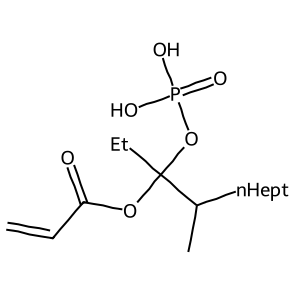 C=CC(=O)OC(CC)(OP(=O)(O)O)C(C)CCCCCCC